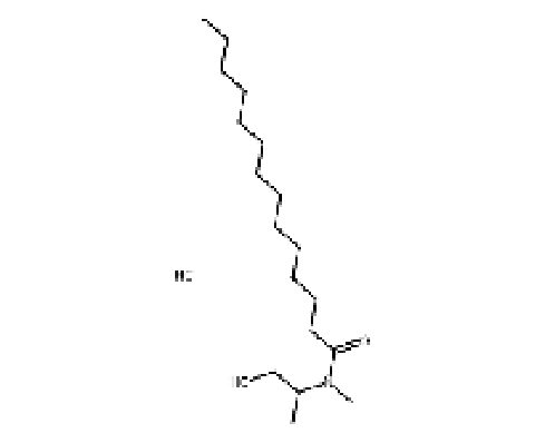 CCCCCCCCCCCCCC(=O)N(C)C(C)CO.Cl